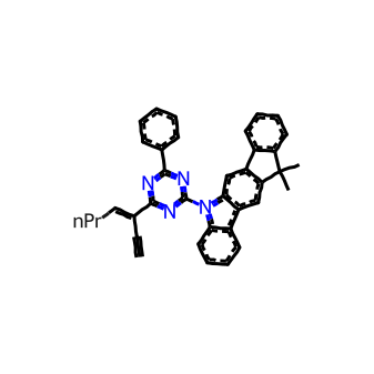 C#C/C(=C\CCC)c1nc(-c2ccccc2)nc(-n2c3ccccc3c3cc4c(cc32)-c2ccccc2C4(C)C)n1